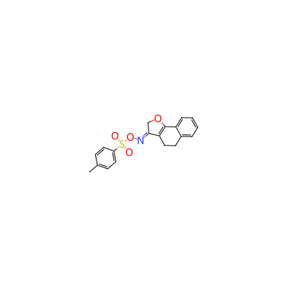 Cc1ccc(S(=O)(=O)O/N=C2\COC3=C2CCc2ccccc23)cc1